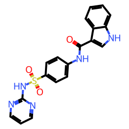 O=C(Nc1ccc(S(=O)(=O)Nc2ncccn2)cc1)c1c[nH]c2ccccc12